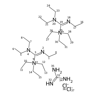 CCN=C(N(CC)CC)[N+](CC)(CC)CC.CCN=C(N(CC)CC)[N+](CC)(CC)CC.N=C(N)N.[Cl-].[Cl-]